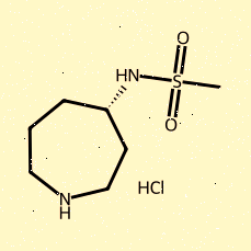 CS(=O)(=O)N[C@H]1CCCNCC1.Cl